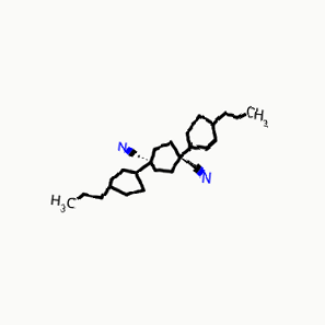 CCCC1CCC([C@]2(C#N)CC[C@@](C#N)(C3CCC(CCC)CC3)CC2)CC1